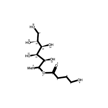 CNC(OC(=O)CCCO)[C@H](O)[C@@H](O)[C@H](O)[C@H](O)CO